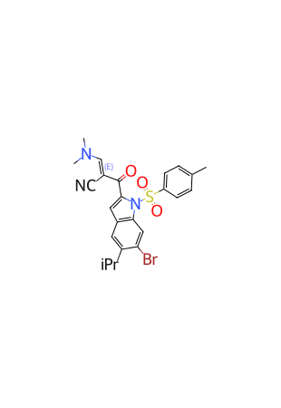 Cc1ccc(S(=O)(=O)n2c(C(=O)/C(C#N)=C/N(C)C)cc3cc(C(C)C)c(Br)cc32)cc1